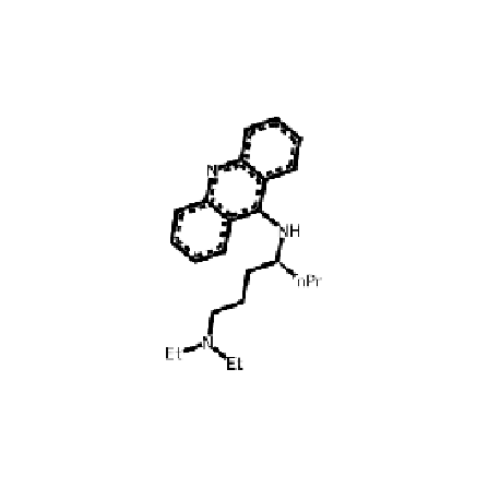 CCC[C@@H](CCCN(CC)CC)Nc1c2ccccc2nc2ccccc12